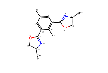 Cc1cc(C2=NC(C(C)C)CO2)c(C)c(C2=NC(C(C)C)CO2)c1